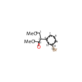 COCC(C(=O)OC)c1cccc(Br)c1